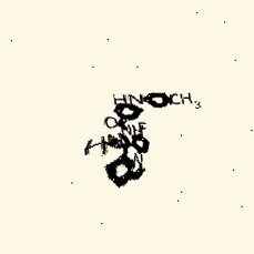 CN1CCC(Nc2ccc(C(=O)Nc3cc(-c4cccc5ccn(-c6ccc(F)cc6)c45)n[nH]3)cc2)CC1